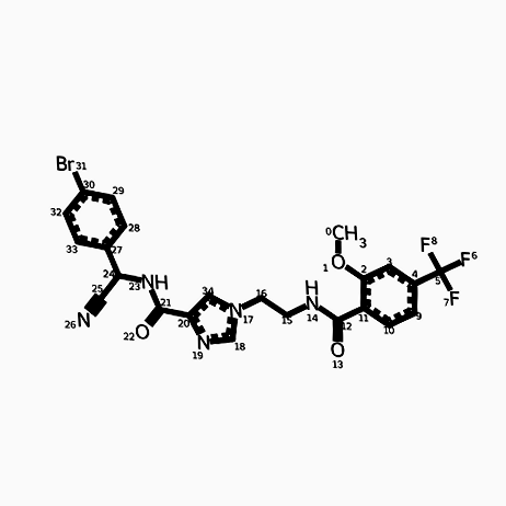 COc1cc(C(F)(F)F)ccc1C(=O)NCCn1cnc(C(=O)NC(C#N)c2ccc(Br)cc2)c1